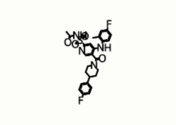 CC(=O)NS(=O)(=O)c1cc(Nc2ccc(F)cc2C)c(C(=O)N2CCC(c3ccc(F)cc3)CC2)cn1